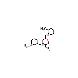 CC1CCCC[C@@H]1CC1C[C@H](CC2CCC[C@@H](C)C2)C(C)CO1